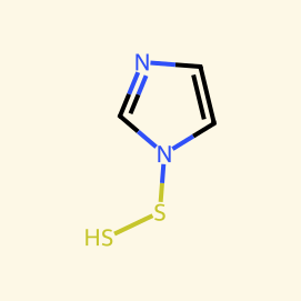 SSn1ccnc1